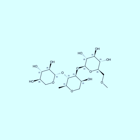 COC[C@H]1O[C@@H](O[C@@H]2[C@@H](O[C@@H]3OC[C@@H](O)[C@H](O)[C@H]3O)[C@H](C)OC[C@@H]2O)[C@H](O)[C@@H](O)[C@@H]1O